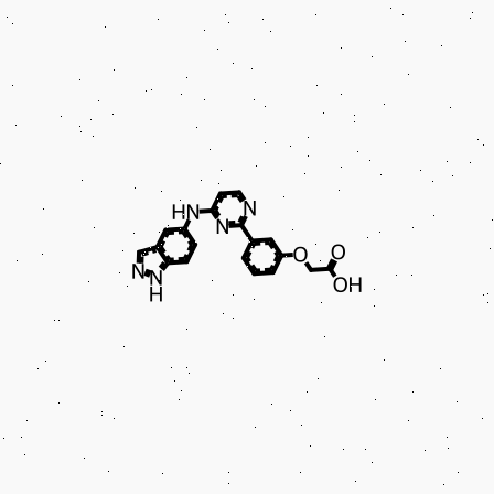 O=C(O)COc1cccc(-c2nccc(Nc3ccc4[nH]ncc4c3)n2)c1